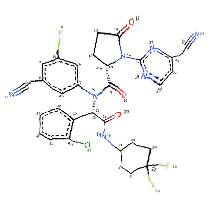 N#Cc1cc(F)cc(N(C(=O)[C@@H]2CCC(=O)N2c2nccc(C#N)n2)[C@H](C(=O)NC2CCC(F)(F)CC2)c2ccccc2Cl)c1